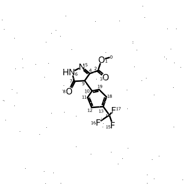 COC(=O)C1=NNC(=O)C1c1ccc(C(F)(F)F)cc1